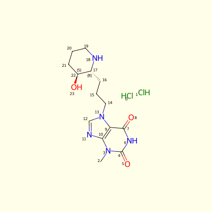 Cl.Cl.Cn1c(=O)[nH]c(=O)c2c1ncn2CCC[C@H]1NCCC[C@@H]1O